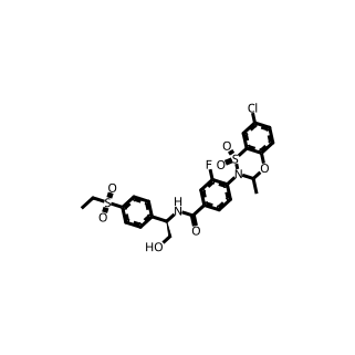 CCS(=O)(=O)c1ccc([C@H](CO)NC(=O)c2ccc(N3C(C)Oc4ccc(Cl)cc4S3(=O)=O)c(F)c2)cc1